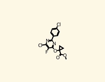 COC(=O)C1(Oc2nc(-c3ccc(Cl)cc3)nc(Cl)c2F)CC1